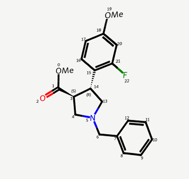 COC(=O)[C@@H]1CN(Cc2ccccc2)C[C@H]1c1ccc(OC)cc1F